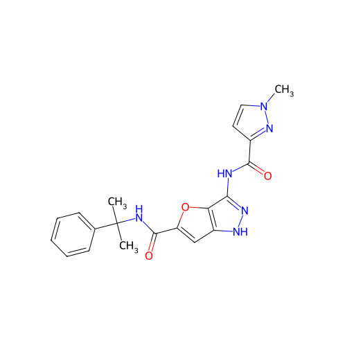 Cn1ccc(C(=O)Nc2n[nH]c3cc(C(=O)NC(C)(C)c4ccccc4)oc23)n1